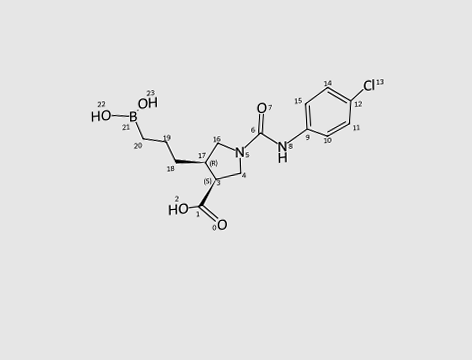 O=C(O)[C@@H]1CN(C(=O)Nc2ccc(Cl)cc2)C[C@@H]1CCCB(O)O